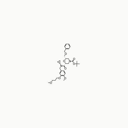 COCCCOc1cc(CN(C(=O)[C@H]2CN(C(=O)OC(C)(C)C)C[C@@H](COCc3ccccc3)O2)C2CC2)ccc1OC